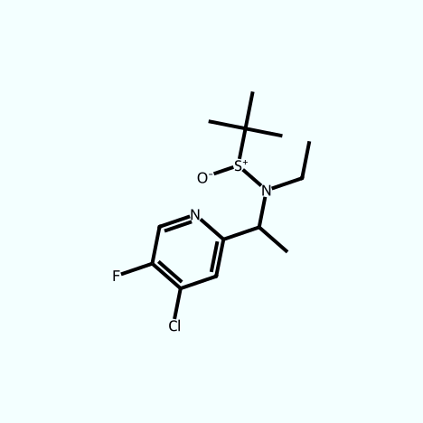 CCN(C(C)c1cc(Cl)c(F)cn1)[S+]([O-])C(C)(C)C